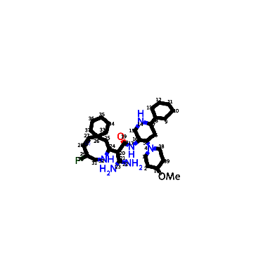 COC1CCN(C2CC(C3CCCCC3)NCC2NC(=O)C(C(N)N)C2CC3(/C=C\C(F)CN2)CCCCC3)CC1